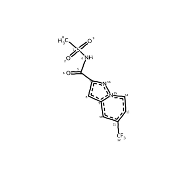 CS(=O)(=O)NC(=O)c1cc2cc(C(F)(F)F)ccn2n1